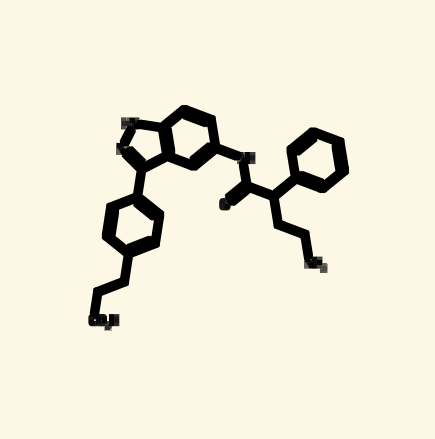 NCCC(C(=O)Nc1ccc2[nH]nc(-c3ccc(CCC(=O)O)cc3)c2c1)c1ccccc1